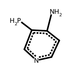 Nc1ccncc1P